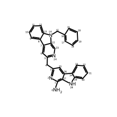 Nc1nc(Cc2cc3c4ccccc4n(Cc4ccccc4)c3cn2)cc2c1[nH]c1ccccc12